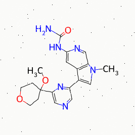 COC1(c2cncc(-c3cn(C)c4cnc(NC(N)=O)cc34)n2)CCOCC1